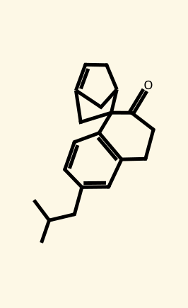 CC(C)Cc1ccc2c(c1)CCC(=O)C21CC2=CCC1C2